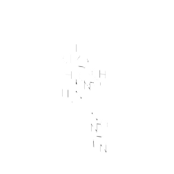 CC(C)(C(=O)NCC(N)C1CCN(C(=O)Nc2ccncc2)CC1)c1ccc(F)c(Cl)c1